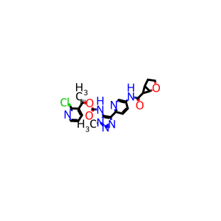 C[C@@H](OC(=O)Nc1c(-c2ccc(NC(=O)C3C4CCOC43)cn2)nnn1C)c1cccnc1Cl